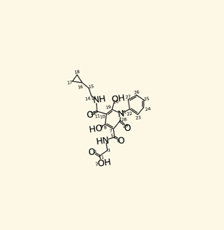 O=C(O)CNC(=O)c1c(O)c(C(=O)NCCC2CC2)c(O)n(-c2ccccc2)c1=O